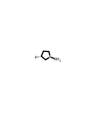 NN1CC[C@@H](F)C1